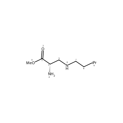 COC(=O)[C@@H](N)CNCCC(C)C